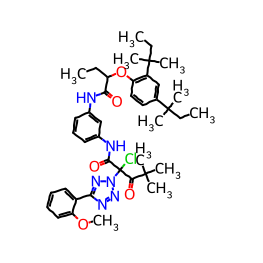 CCC(Oc1ccc(C(C)(C)CC)cc1C(C)(C)CC)C(=O)Nc1cccc(NC(=O)C(Cl)(C(=O)C(C)(C)C)n2nnc(-c3ccccc3OC)n2)c1